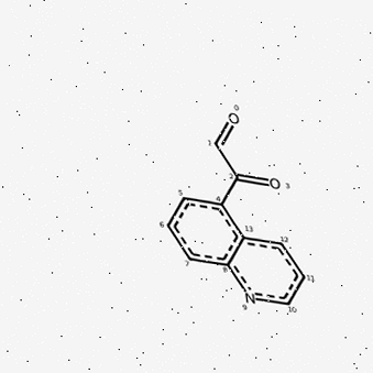 O=CC(=O)c1cccc2ncccc12